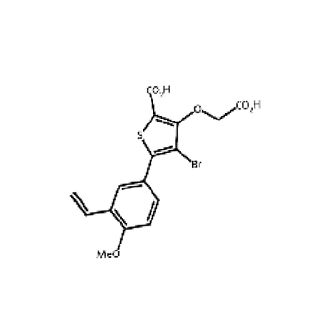 C=Cc1cc(-c2sc(C(=O)O)c(OCC(=O)O)c2Br)ccc1OC